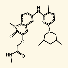 CNC(=O)COc1cc2cc(Nc3nc(N4CC(C)CC(C)C4)ccc3C)ccc2n(C)c1=O